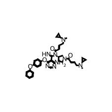 CN(C/C=C/C(=O)N1CC[C@@H](N(C(=N)c2c(N)ncnc2Oc2ccc(Oc3ccccc3)cc2)C(=O)/C=C/CN(C)C2CC2)C1)C1CC1